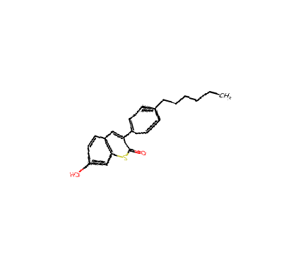 CCCCCCc1ccc(-c2cc3ccc(O)cc3sc2=O)cc1